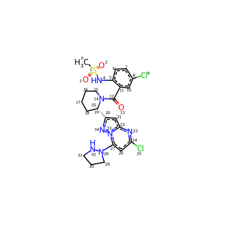 CS(=O)(=O)Nc1ccc(Cl)cc1C(=O)N1CCCC[C@H]1c1cc2nc(Cl)cc(N3CCCN3)n2n1